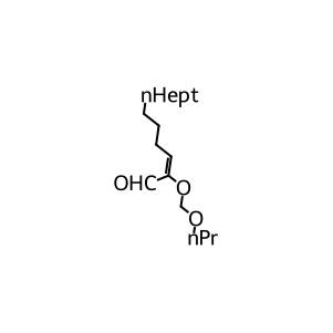 CCCCCCCCCC/C=C(\C=O)OCOCCC